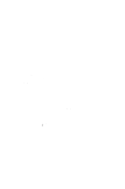 CCC(=O)OCOC(COC(C)C)COC(C)C